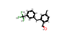 Cc1ccc(C=O)c(Cc2cccc(C(F)(F)F)c2)c1